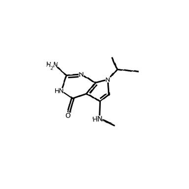 CNc1cn(C(C)C)c2nc(N)[nH]c(=O)c12